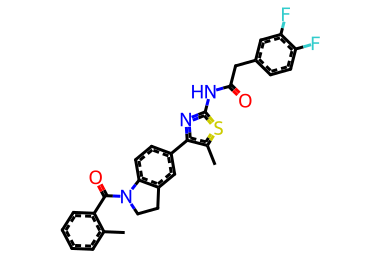 Cc1ccccc1C(=O)N1CCc2cc(-c3nc(NC(=O)Cc4ccc(F)c(F)c4)sc3C)ccc21